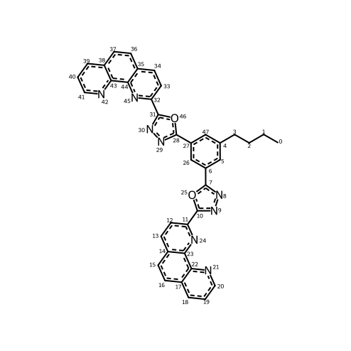 CCCCc1cc(-c2nnc(-c3ccc4ccc5cccnc5c4n3)o2)cc(-c2nnc(-c3ccc4ccc5cccnc5c4n3)o2)c1